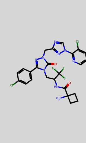 NC1(C(=O)NC(Cn2c(-c3ccc(Cl)cc3)nn(Cc3ncn(-c4ncccc4Cl)n3)c2=O)C(F)(F)F)CCC1